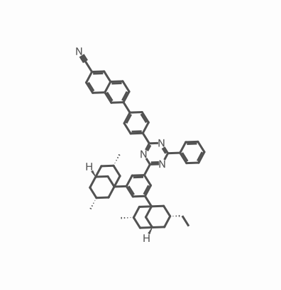 CC[C@@H]1C[C@@H]2C[C@H](C)CC(c3cc(-c4nc(-c5ccccc5)nc(-c5ccc(-c6ccc7cc(C#N)ccc7c6)cc5)n4)cc(C45C[C@H](C)C[C@H](C[C@H](C)C4)C5)c3)(C1)C2